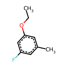 CCOc1cc(C)cc(F)c1